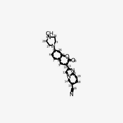 CN1CCN(c2ccc3cc(-c4cn5cc(C#N)ccc5n4)c(=O)oc3c2)CC1